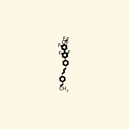 CCC[C@H]1CC[C@H](CCCC[C@H]2CC[C@H](c3cc(F)c(-c4ccc(OC(F)(F)F)c(F)c4)c(F)c3)CC2)CC1